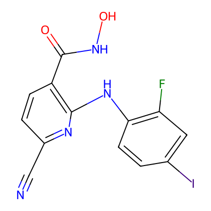 N#Cc1ccc(C(=O)NO)c(Nc2ccc(I)cc2F)n1